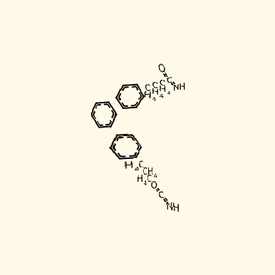 C.C.C.C.C.C.N=C=O.N=C=O.c1ccccc1.c1ccccc1.c1ccccc1